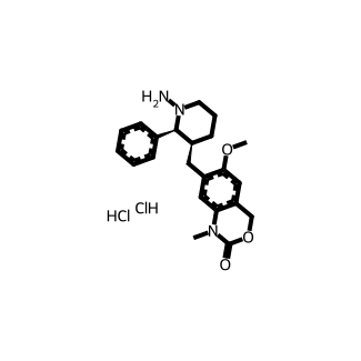 COc1cc2c(cc1C[C@@H]1CCCN(N)[C@@H]1c1ccccc1)N(C)C(=O)OC2.Cl.Cl